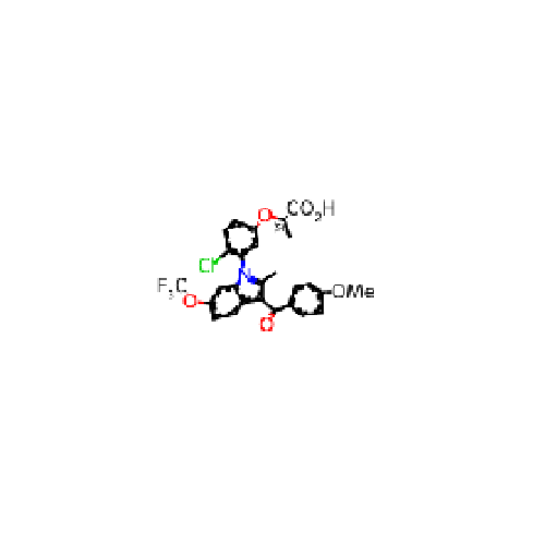 COc1ccc(C(=O)c2c(C)n(-c3cc(O[C@@H](C)C(=O)O)ccc3Cl)c3cc(OC(F)(F)F)ccc23)cc1